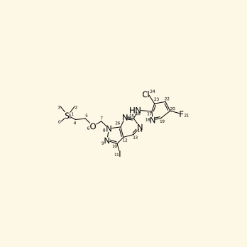 C[Si](C)(C)CCOCn1nc(I)c2cnc(Nc3ncc(F)cc3Cl)nc21